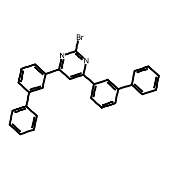 Brc1nc(-c2cccc(-c3ccccc3)c2)cc(-c2cccc(-c3ccccc3)c2)n1